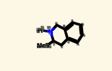 CSC1Cc2ccccc2CN1C(C)C